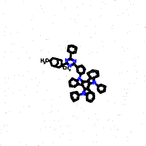 CC1CC2CC(C1)CC(C)(c1nc(-c3ccccc3)nc(-c3cccc(-n4c5ccccc5c5c6c(c7ccccc7n6-c6ccccc6)c6c(c7ccccc7n6-c6ccccc6)c54)c3)n1)C2